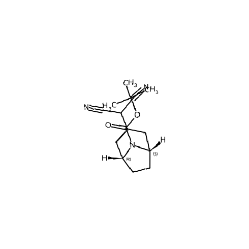 CC(C)(C)OC(=O)N1[C@@H]2CC[C@H]1CC(C(C#N)C#N)C2